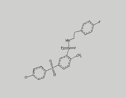 Cc1ccc(S(=O)(=O)c2ccc(Cl)cc2)cc1S(=O)(=O)NCCc1ccc(F)cc1